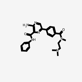 CN(C)CCN(C)C(=O)c1ccc(-c2cnc(N)c(C(=O)Nc3ccccc3)n2)cc1